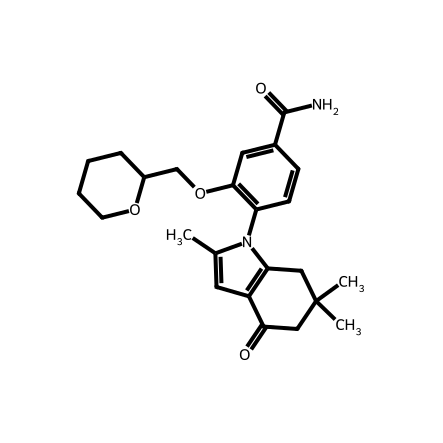 Cc1cc2c(n1-c1ccc(C(N)=O)cc1OCC1CCCCO1)CC(C)(C)CC2=O